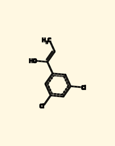 CC=C(O)c1cc(Cl)cc(Cl)c1